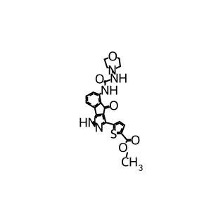 CCOC(=O)c1ccc(-c2n[nH]c3c2C(=O)c2c(NC(=O)NN4CCOCC4)cccc2-3)s1